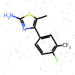 Cc1sc(N)nc1-c1ccc(F)c(C(F)(F)F)c1